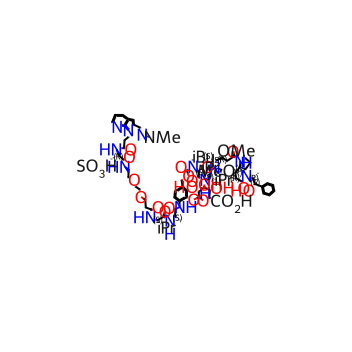 CC[C@H](C)[C@@H]([C@@H](CC(=O)N1CCC[C@H]1[C@H](OC)[C@@H](C)C(=O)N[C@H](C)[C@@H](O)c1ccccc1)OC)N(C)C(=O)[C@@H](NC(=O)[C@H](C(C)C)N(C)C(=O)OCc1ccc(NC(=O)[C@H](C)NC(=O)[C@@H](NC(=O)CCOCCOCCNC(=O)[C@H](CS(=O)(=O)O)NC(=O)CCn2c(CN(C)NC)cc3cccnc32)C(C)C)c(OC2OC(C(=O)O)C(O)C(O)C2O)c1)C(C)C